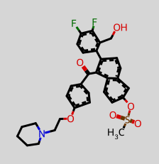 CS(=O)(=O)Oc1ccc2c(C(=O)c3ccc(OCCN4CCCCC4)cc3)c(-c3ccc(F)c(F)c3CO)ccc2c1